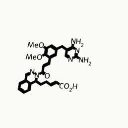 COc1cc(Cc2cnc(N)nc2N)cc(/C=C/C(=O)N2N=Cc3ccccc3C2CC/C=C/C(=O)O)c1OC